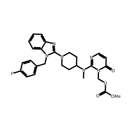 COC(=O)OCn1c(N(C)C2CCN(c3nc4ccccc4n3Cc3ccc(F)cc3)CC2)nccc1=O